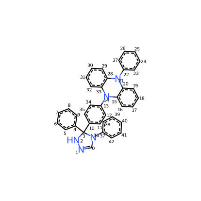 C1=NNC(c2ccccc2)(c2ccc(N3c4ccccc4N(c4ccccc4)c4ccccc43)cc2)N1c1ccccc1